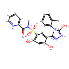 Cc1ccccc1-n1c(O)nnc1-c1cc(S(=O)(=O)N(C)C(=O)c2ccccn2)c(O)cc1O